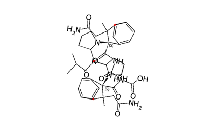 CC(C)C(=O)N(C1CCCN1[C@]1(C(=O)NC(=O)O)c2ccc(cc2)CC1(C)CC(N)=O)C1CCCN1[C@]1(C(=O)NC(=O)O)c2ccc(cc2)CC1(C)CC(N)=O